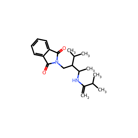 C=C(NC(C)C(CN1C(=O)c2ccccc2C1=O)C(C)C)C(C)C